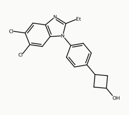 CCc1nc2cc(Cl)c(Cl)cc2n1-c1ccc(C2CC(O)C2)cc1